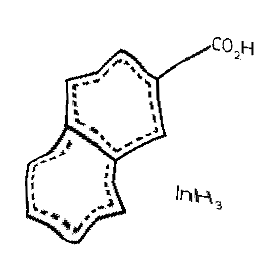 O=C(O)c1ccc2ccccc2c1.[InH3]